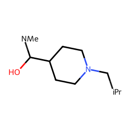 CNC(O)C1CCN(CC(C)C)CC1